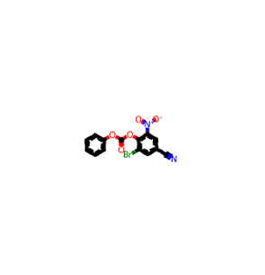 N#Cc1cc(Br)c(OC(=O)Oc2ccccc2)c([N+](=O)[O-])c1